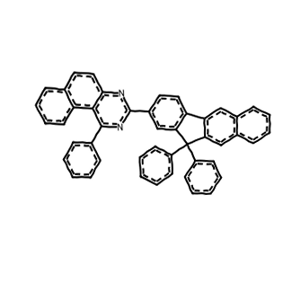 c1ccc(-c2nc(-c3ccc4c(c3)C(c3ccccc3)(c3ccccc3)c3cc5ccccc5cc3-4)nc3ccc4ccccc4c23)cc1